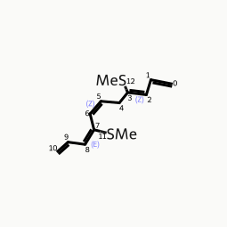 C=C/C=C(/C/C=C\C(=C/C=C)SC)SC